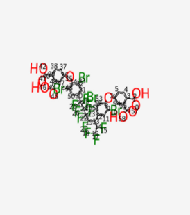 O=C(O)c1ccc(Oc2c(Br)cc(C(C(F)C(F)F)C(F)C(F)(F)C(F)(F)C(F)(F)c3cc(Br)c(Oc4ccc(C(=O)O)c(C(=O)O)c4)c(Br)c3)cc2Br)cc1C(=O)O